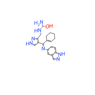 NC(O)NCc1n[nH]cc1/C(=N/c1ccc2[nH]ncc2c1)C1=CCCCC1